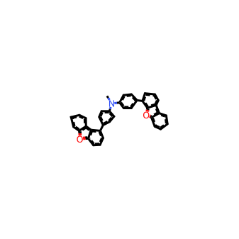 CN(c1ccc(-c2cccc3c2oc2ccccc23)cc1)c1ccc(-c2cccc3oc4ccccc4c23)cc1